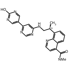 CNC(=O)c1ccnc2c([C@H](C)CNc3cc(-c4cnc(O)nc4)ncn3)cccc12